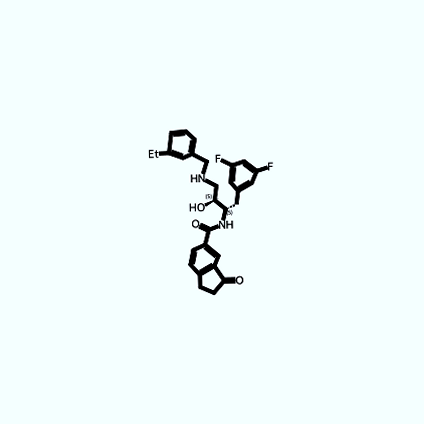 CCc1cccc(CNC[C@H](O)[C@H](Cc2cc(F)cc(F)c2)NC(=O)c2ccc3c(c2)C(=O)CC3)c1